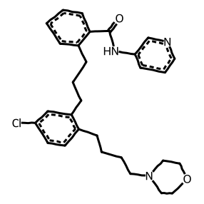 O=C(Nc1cccnc1)c1ccccc1CCCc1cc(Cl)ccc1CCCCN1CCOCC1